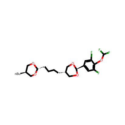 CCCC[C@H]1CO[C@H](CCCC[C@H]2CO[C@H](c3cc(F)c(OC(F)F)c(F)c3)OC2)OC1